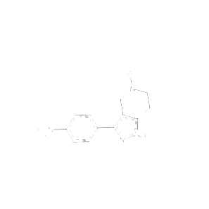 CC(=O)N1CCc2[nH]nc(-c3ccc([N+](=O)[O-])cc3)c2C1